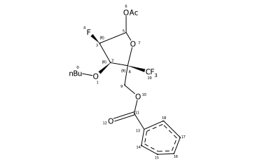 CCCCO[C@H]1[C@@H](F)C(OC(C)=O)O[C@@]1(COC(=O)c1ccccc1)C(F)(F)F